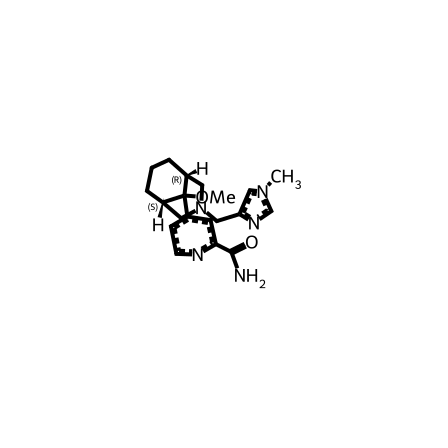 COC1(c2ccnc(C(N)=O)c2)[C@@H]2CCC[C@H]1CN(Cc1cn(C)cn1)C2